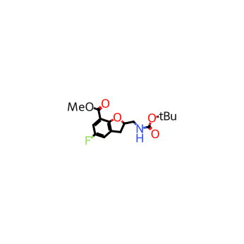 COC(=O)c1cc(F)cc2c1OC(CNC(=O)OC(C)(C)C)C2